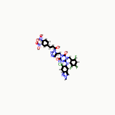 Cn1cc2cc(/N=c3\[nH]c(=O)n(Cc4cnnn4C(=O)/C=C/c4ccc([N+](=O)[O-])c([N+](=O)[O-])c4)c(=O)n3Cc3cc(F)c(F)cc3F)c(Cl)cc2n1